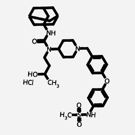 CC(O)CCN(C(=O)NC12CC3CC(CC(C3)C1)C2)C1CCN(Cc2ccc(Oc3ccc(NS(C)(=O)=O)cc3)cc2)CC1.Cl